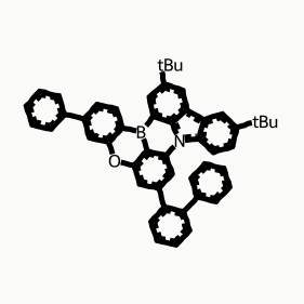 CC(C)(C)c1ccc2c(c1)c1cc(C(C)(C)C)cc3c1n2-c1cc(-c2ccccc2-c2ccccc2)cc2c1B3c1ccc(-c3ccccc3)cc1O2